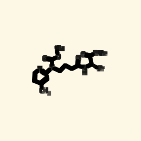 COC(=O)[C@H](NC(=O)CCCN(C(=O)OC(C)(C)C)c1cc(C)ccn1)C(C)C